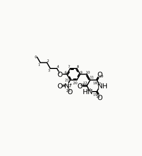 CCCCCOc1ccc(C=C2C(=O)NC(=O)NC2=O)cc1[N+](=O)[O-]